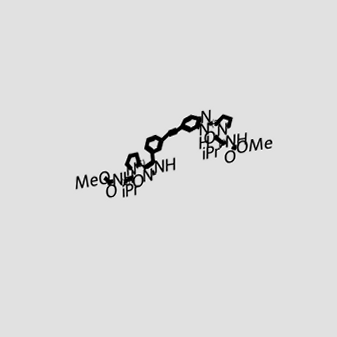 COC(=O)N[C@H](C(=O)N1CCC[C@H]1c1nc2ccc(C#Cc3cccc(-c4[nH]cnc4[C@@H]4CCCN4C(=O)[C@@H](NC(=O)OC)C(C)C)c3)cc2[nH]1)C(C)C